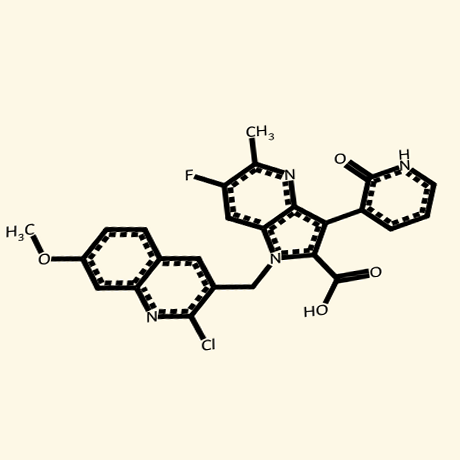 COc1ccc2cc(Cn3c(C(=O)O)c(-c4ccc[nH]c4=O)c4nc(C)c(F)cc43)c(Cl)nc2c1